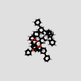 c1ccc(-c2ccc3c(c2)c2cc(-c4ccccc4)ccc2n3-c2nc(-n3c4ccccc4c4cnccc43)c(-n3c4ccccc4c4cc(-c5ccccc5)ccc43)c(-c3ccccc3-c3nccc(-c4ccccc4)n3)c2C2c3ccccc3-c3cnccc32)cc1